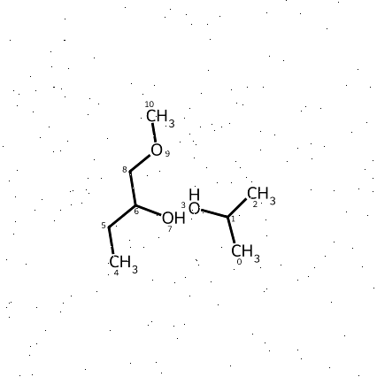 CC(C)O.CCC(O)COC